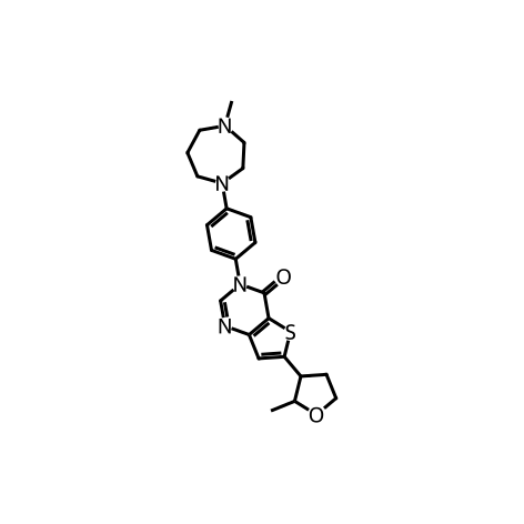 CC1OCCC1c1cc2ncn(-c3ccc(N4CCCN(C)CC4)cc3)c(=O)c2s1